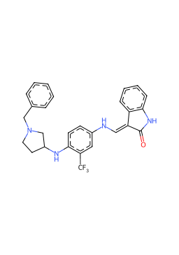 O=C1Nc2ccccc2C1=CNc1ccc(NC2CCN(Cc3ccccc3)C2)c(C(F)(F)F)c1